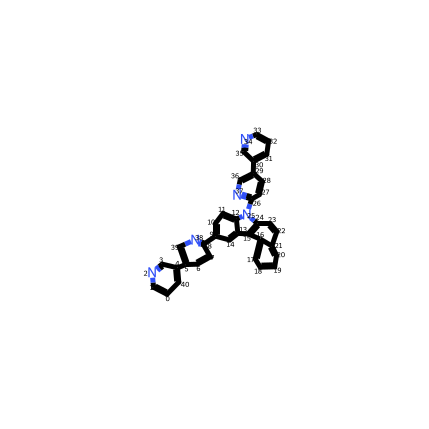 c1cncc(-c2ccc(-c3ccc4c(c3)c3c5ccccc5ccc3n4-c3ccc(-c4cccnc4)cn3)nc2)c1